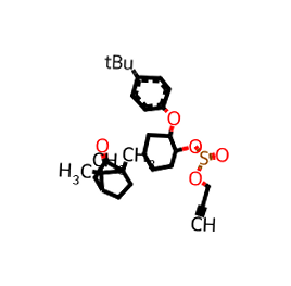 C#CCOS(=O)OC1CCCCC1Oc1ccc(C(C)(C)C)cc1.CC12CCC(CC1=O)C2(C)C